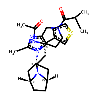 CC(=O)N[C@@H](CCN1[C@@H]2CC[C@H]1C[C@@H](n1c(C)nc3c1CCN(C(=O)C(C)C)C3)C2)c1ccsc1